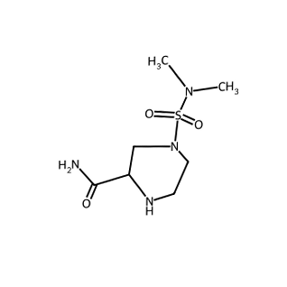 CN(C)S(=O)(=O)N1CCNC(C(N)=O)C1